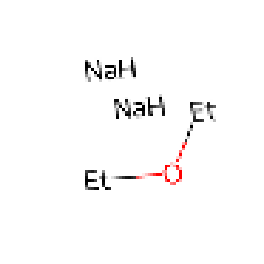 CCOCC.[NaH].[NaH]